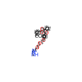 N=[N+]=NCCOCCOCCOc1ccc(-c2oc3ccccc3c(=O)c2OCc2cccc(C(=O)[O-])c2)cc1